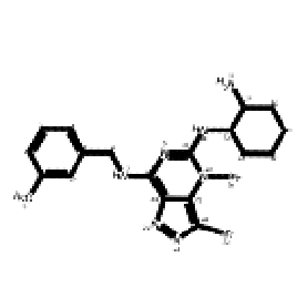 CC(=O)Oc1cccc(CNc2nc(NC3CCCCC3N)n(C(C)C)c3c(C(C)C)nnc2-3)c1